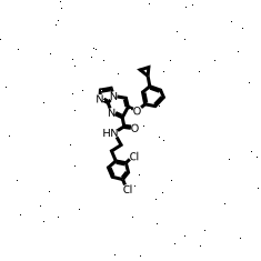 O=C(NCCc1ccc(Cl)cc1Cl)c1nc2nccn2cc1Oc1cccc(C2CC2)c1